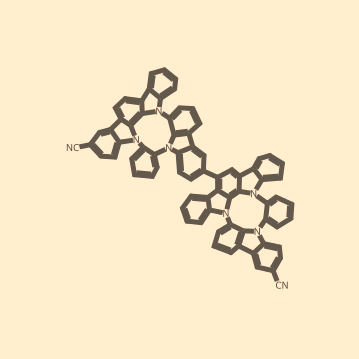 N#Cc1ccc2c(c1)c1cccc3c1n2c1ccccc1n1c2ccccc2c2cc(-c4ccc5c(c4)c4cccc6c4n5c4ccccc4n4c5ccc(C#N)cc5c5ccc7c8ccccc8n6c7c54)c4c5ccccc5n3c4c21